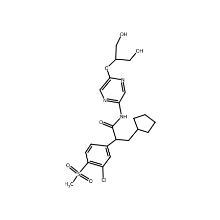 CS(=O)(=O)c1ccc(C(CC2CCCC2)C(=O)Nc2cnc(OC(CO)CO)cn2)cc1Cl